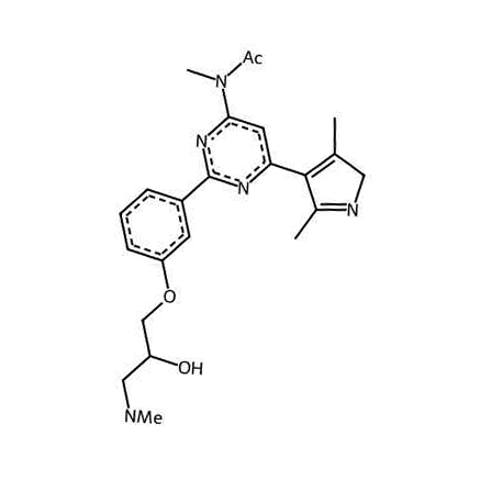 CNCC(O)COc1cccc(-c2nc(C3=C(C)CN=C3C)cc(N(C)C(C)=O)n2)c1